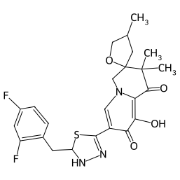 CC1COC2(C1)Cn1cc(C3=NNC(Cc4ccc(F)cc4F)S3)c(=O)c(O)c1C(=O)C2(C)C